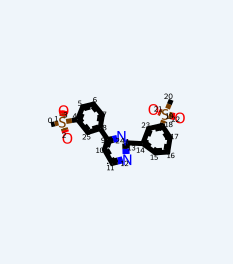 CS(=O)(=O)c1cccc(-c2c[c]nc(-c3cccc(S(C)(=O)=O)c3)n2)c1